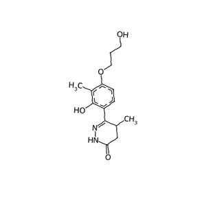 Cc1c(OCCCO)ccc(C2=NNC(=O)CC2C)c1O